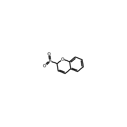 O=P(=O)C1C=Cc2ccccc2O1